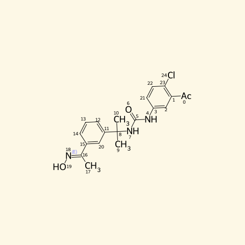 CC(=O)c1cc(NC(=O)NC(C)(C)c2cccc(/C(C)=N/O)c2)ccc1Cl